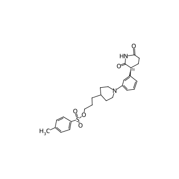 Cc1ccc(S(=O)(=O)OCCCC2CCN(c3cccc([C@@H]4CCC(=O)NC4=O)c3)CC2)cc1